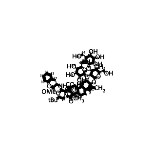 C=C1C[C@@]23CC[C@H]4[C@@](C)(CCC[C@@]4(C)C(=O)N(CCC(C)(C)C)C(CC(=O)O)C(=O)N[C@@H](Cc4ccccc4)C(=O)OC)[C@@H]2CC[C@]1(O[C@@H]1O[C@H](CO)[C@@H](O)[C@H](O[C@@H]2O[C@H](CO)[C@@H](O)[C@H](O)[C@H]2O)[C@H]1O[C@@H]1O[C@H](CO)[C@@H](O)[C@H](O)[C@H]1O)C3